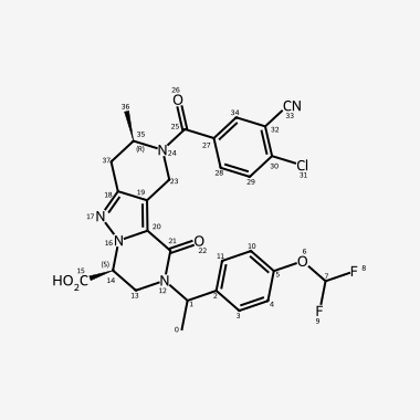 CC(c1ccc(OC(F)F)cc1)N1C[C@@H](C(=O)O)n2nc3c(c2C1=O)CN(C(=O)c1ccc(Cl)c(C#N)c1)[C@H](C)C3